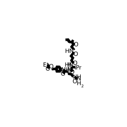 CC=CC(C)C(=O)CCNC(=O)CCCC(=O)NC(C(=O)N[C@@H](CCCNC(N)=O)C(=O)Nc1ccc(COC(=O)CC)cc1)C(C)C